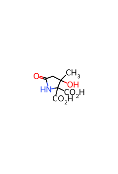 CC1(O)CC(=O)NC1(C(=O)O)C(=O)O